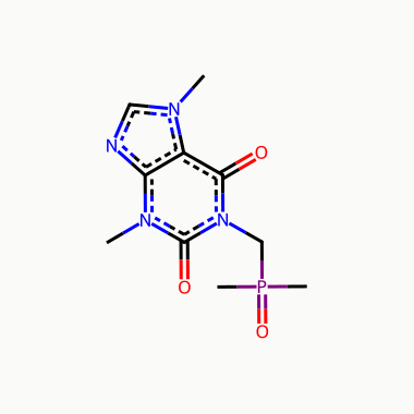 Cn1cnc2c1c(=O)n(CP(C)(C)=O)c(=O)n2C